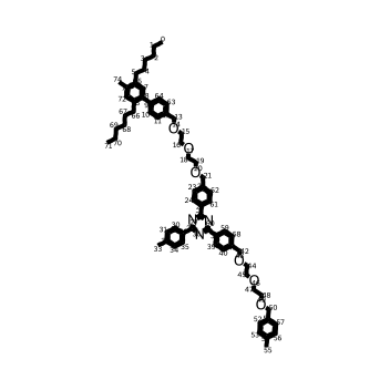 CCCCCCc1cc(-c2ccc(COCCOCCOCc3ccc(-c4nc(-c5ccc(C)cc5)nc(-c5ccc(COCCOCCOCc6ccc(C)cc6)cc5)n4)cc3)cc2)c(CCCCCC)cc1C